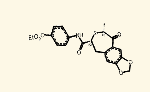 CCOC(=O)c1ccc(NC(=O)[C@@H]2Cc3cc4c(cc3C(=O)[C@@H](C)S2)OCO4)cc1